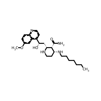 CCCCCCCN[C@@H]1CCN[C@H](C[C@H](O)c2ccnc3ccc(OC)cc23)[C@@H]1C(N)=O